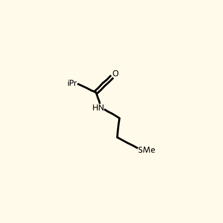 CSCCNC(=O)C(C)C